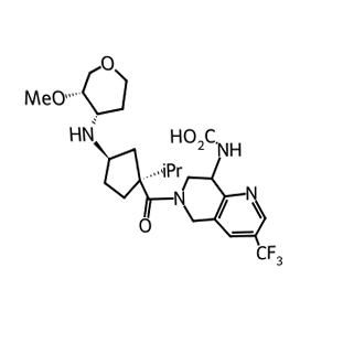 CO[C@@H]1COCC[C@@H]1N[C@@H]1CC[C@@](C(=O)N2Cc3cc(C(F)(F)F)cnc3C(NC(=O)O)C2)(C(C)C)C1